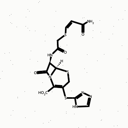 NC(=O)/C=C\SCC(=O)N[C@@H]1C(=O)N2C(C(=O)O)=C(Sc3nnc[nH]3)CS[C@H]12